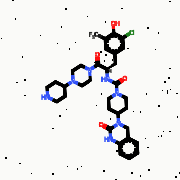 O=C(N[C@H](Cc1cc(Cl)c(O)c(C(F)(F)F)c1)C(=O)N1CCN(C2CCNCC2)CC1)N1CCC(N2Cc3ccccc3NC2=O)CC1